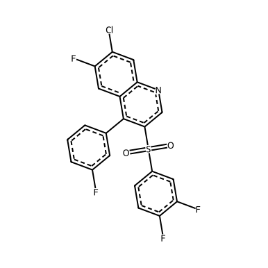 O=S(=O)(c1ccc(F)c(F)c1)c1cnc2cc(Cl)c(F)cc2c1-c1cccc(F)c1